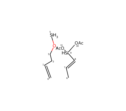 C=CCCO[SiH3].CC=C[SiH](OC(C)=O)OC(C)=O